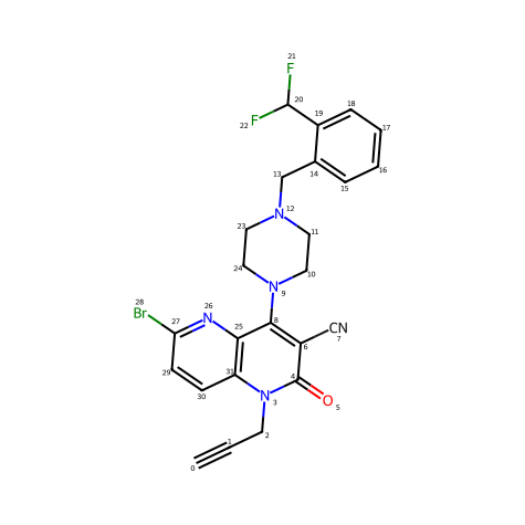 C#CCn1c(=O)c(C#N)c(N2CCN(Cc3ccccc3C(F)F)CC2)c2nc(Br)ccc21